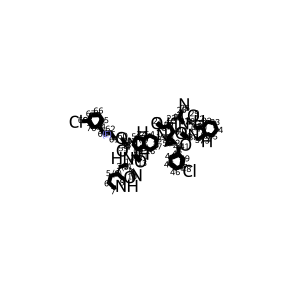 N#C[C@H](C[C@@H]1CCCNC1=O)NC(=O)[C@@H]1[C@H]2CCC(N3C(=O)[C@H](C[C@@H](C#N)NC(=O)[C@@H]4[C@H]5CCCC[C@H]5CN4C(=O)OCc4cccc(Cl)c4)CC34CC4)C[C@H]2CN1C(=O)OC/C=C/c1cccc(Cl)c1